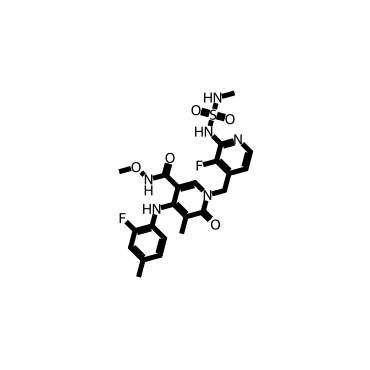 CNS(=O)(=O)Nc1nccc(Cn2cc(C(=O)NOC)c(Nc3ccc(C)cc3F)c(C)c2=O)c1F